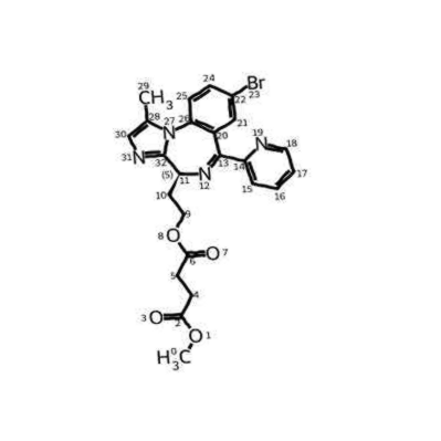 COC(=O)CCC(=O)OCC[C@@H]1N=C(c2ccccn2)c2cc(Br)ccc2-n2c(C)cnc21